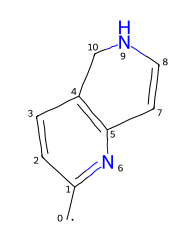 [CH2]c1ccc2c(n1)C=CNC2